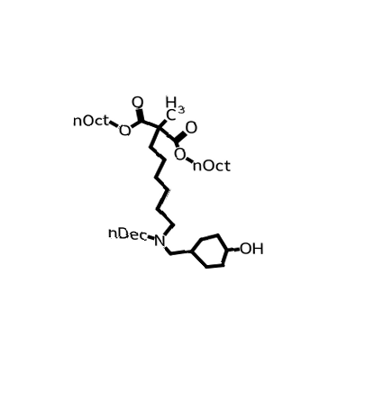 CCCCCCCCCCN(CCCCCCC(C)(C(=O)OCCCCCCCC)C(=O)OCCCCCCCC)CC1CCC(O)CC1